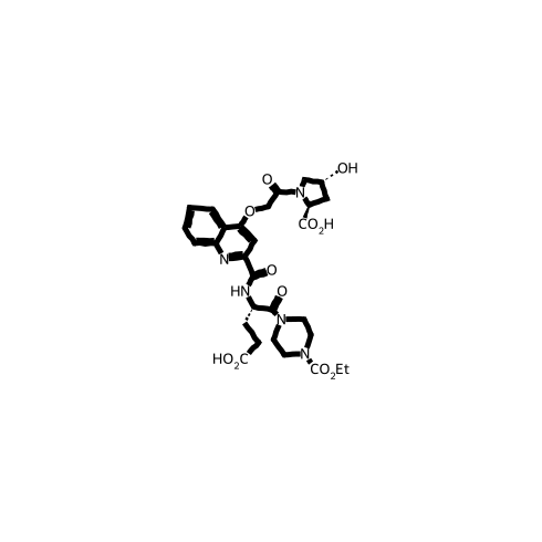 CCOC(=O)N1CCN(C(=O)[C@H](CCC(=O)O)NC(=O)c2cc(OCC(=O)N3C[C@H](O)C[C@H]3C(=O)O)c3ccccc3n2)CC1